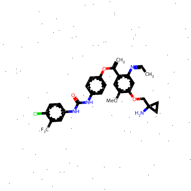 C=C(Oc1ccc(NC(=O)Nc2ccc(Cl)c(C(F)(F)F)c2)cc1)c1cc(OC)c(OCC2(N)CC2)cc1/N=C\C